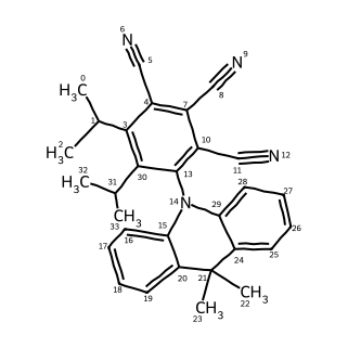 CC(C)c1c(C#N)c(C#N)c(C#N)c(N2c3ccccc3C(C)(C)c3ccccc32)c1C(C)C